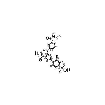 CCN(C)C(=O)c1cccc(Nc2sc(-c3ccc(C(C)(C)O)cc3F)cc2C(N)=O)n1